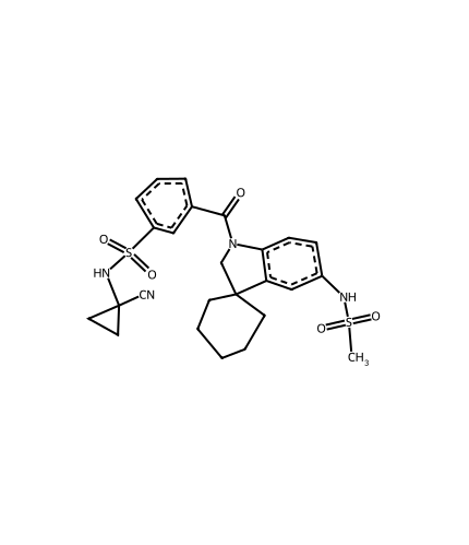 CS(=O)(=O)Nc1ccc2c(c1)C1(CCCCC1)CN2C(=O)c1cccc(S(=O)(=O)NC2(C#N)CC2)c1